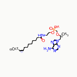 CCCCCCCC/C=C\CCCCCCCC(=O)NCCOP(=O)(O)CO[C@H](C)Cn1cnc2c(N)ncnc21